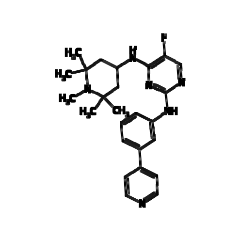 CN1C(C)(C)CC(Nc2nc(Nc3cccc(-c4ccncc4)c3)ncc2F)CC1(C)C